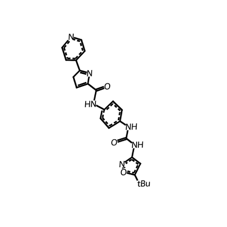 CC(C)(C)c1cc(NC(=O)Nc2ccc(NC(=O)C3=CCC(c4ccncc4)=N3)cc2)no1